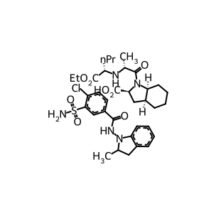 CC1Cc2ccccc2N1NC(=O)c1ccc(Cl)c(S(N)(=O)=O)c1.CCC[C@H](N[C@H](C)C(=O)N1[C@H](C(=O)O)C[C@@H]2CCCC[C@@H]21)C(=O)OCC